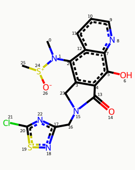 CN(c1c2c(c(O)c3ncccc13)C(=O)N(Cc1nsc(Cl)n1)C2)[S+](C)[O-]